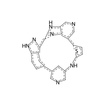 c1ncc2cc1[nH]c1ccc(s1)c1cncc3[nH]c(nc31)c1n[nH]c3ccc2cc31